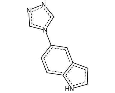 c1cc2cc(-n3cnnc3)ccc2[nH]1